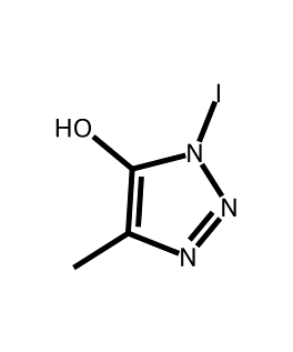 Cc1nnn(I)c1O